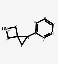 c1cnnc(C2CC23CNC3)c1